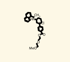 COCCOCCOC(=O)c1ccc(C2CCCC(N[C@H](C)c3cccc4ccccc34)C2)cc1.Cl